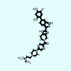 CCc1cc(O)c(F)cc1-c1ccc2c(-c3nc4c([nH]3)CCN(C(=O)c3cnc(N5CCN(CCN(C)C)CC5)cn3)C4)n[nH]c2c1